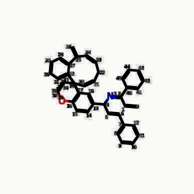 C=C/C(=N\C(C=Cc1ccccc1)c1ccc2c(c1)C1(C=CC/C=C\C(=C)c3ccccc31)c1ccccc1O2)c1ccccc1